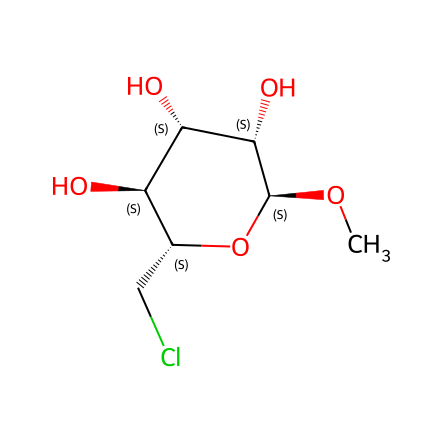 CO[C@H]1O[C@H](CCl)[C@@H](O)[C@H](O)[C@@H]1O